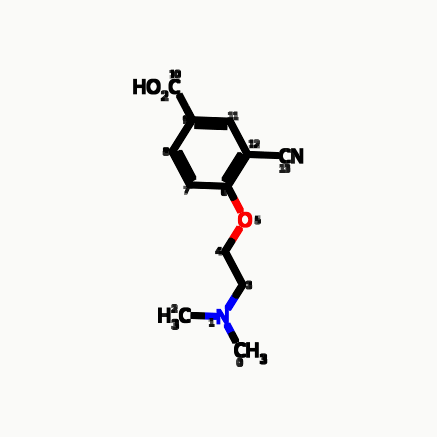 CN(C)CCOc1ccc(C(=O)O)cc1C#N